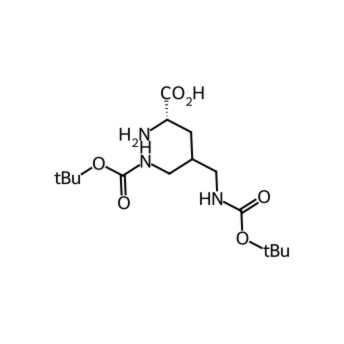 CC(C)(C)OC(=O)NCC(CNC(=O)OC(C)(C)C)C[C@H](N)C(=O)O